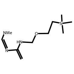 C=C(/N=C\NC)NCOCC[Si](C)(C)C